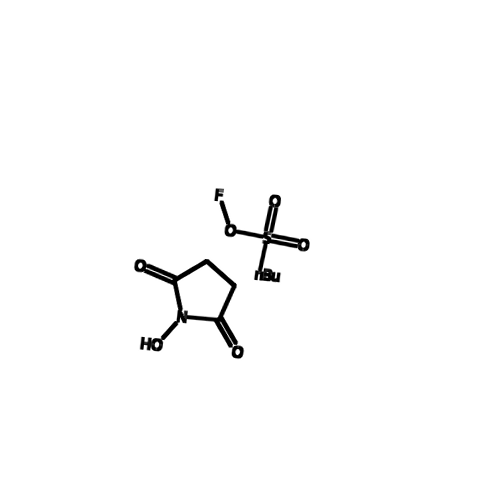 CCCCS(=O)(=O)OF.O=C1CCC(=O)N1O